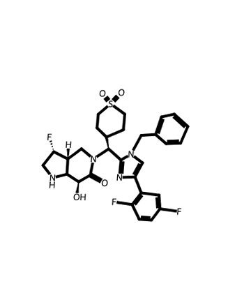 O=C1[C@@H](O)C2NC[C@H](F)[C@@H]2CN1[C@H](c1nc(-c2cc(F)ccc2F)cn1Cc1ccccc1)C1CCS(=O)(=O)CC1